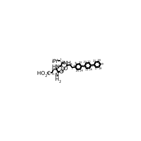 CC(C)C[C@H](NC(=O)CCc1ccc(-c2ccc(-c3ccccc3)cc2)cc1)C(=O)N[C@@H](CCC(=O)O)C(N)=O